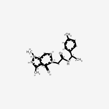 Cc1ccc(C(C)NC(=O)Cn2ncc3c(c(C)nn3C)c2=O)cc1